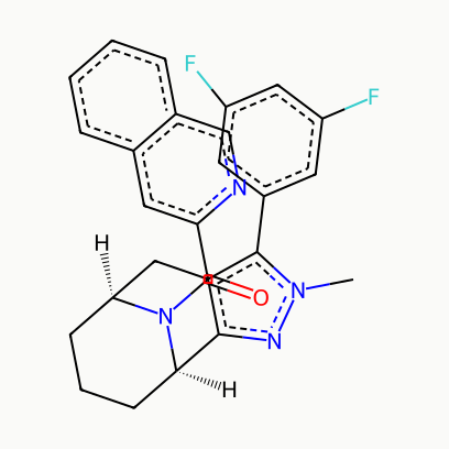 Cn1nc2c(c1-c1cc(F)cc(F)c1)C[C@@H]1CCC[C@H]2N1C(=O)c1cc2ccccc2cn1